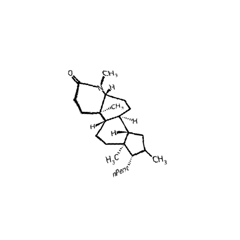 CCCCC[C@H]1C(C)C[C@H]2[C@@H]3CC[C@H]4N(C)C(=O)CC[C@]4(C)[C@H]3CC[C@]12C